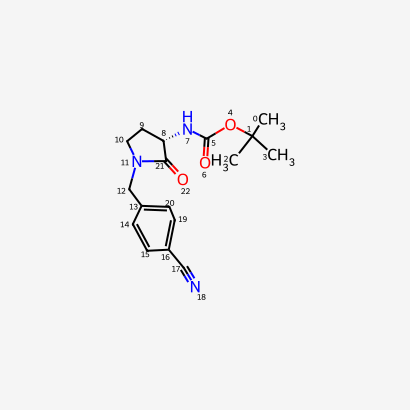 CC(C)(C)OC(=O)N[C@H]1CCN(Cc2ccc(C#N)cc2)C1=O